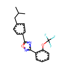 CC(C)Cc1ccc(-c2nc(-c3ccccc3OC(F)(F)F)no2)cc1